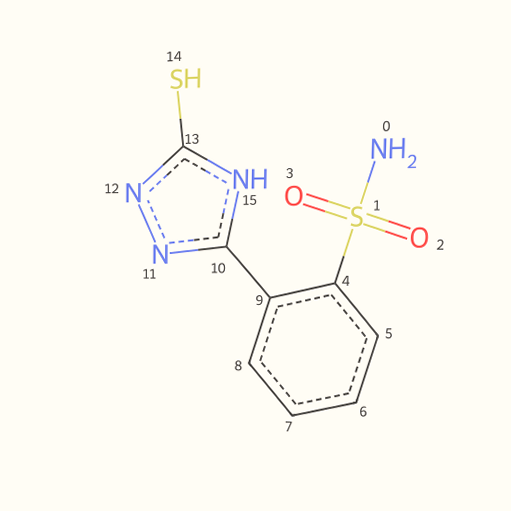 NS(=O)(=O)c1ccccc1-c1nnc(S)[nH]1